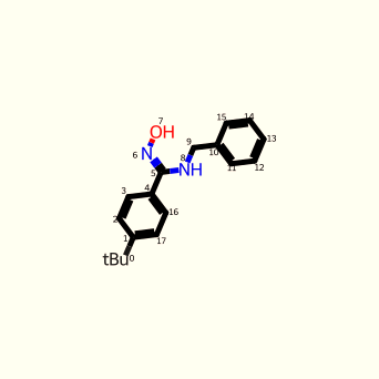 CC(C)(C)c1ccc(/C(=N/O)NCc2ccccc2)cc1